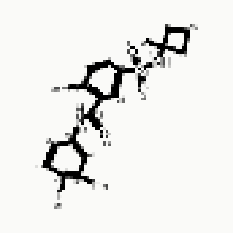 CC1(NS(=O)(=O)c2ccc(F)c(C(=O)Nc3ccc(F)c(F)c3)c2)CCC1